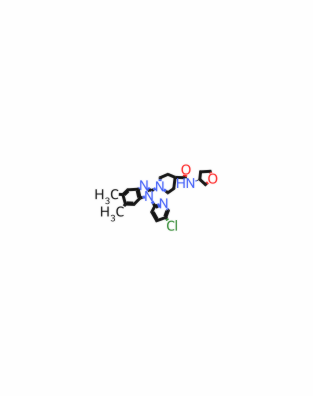 Cc1cc2nc(N3CCC(C(=O)N[C@@H]4CCOC4)CC3)n(-c3ccc(Cl)cn3)c2cc1C